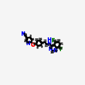 N#Cc1ccc(Oc2ccc(CCNc3ncnc4c(F)ccc(F)c34)cc2)nc1